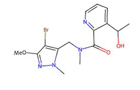 COc1nn(C)c(CN(C)C(=O)c2ncccc2C(C)O)c1Br